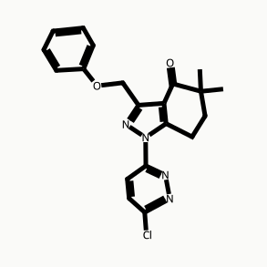 CC1(C)CCc2c(c(COc3ccccc3)nn2-c2ccc(Cl)nn2)C1=O